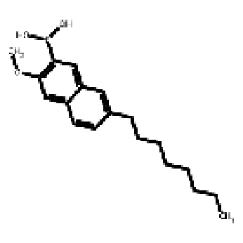 CCCCCCCCc1ccc2cc(OC)c(B(O)O)cc2c1